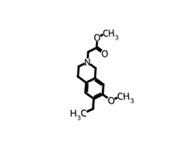 CCc1cc2c(cc1OC)CN(CC(=O)OC)CC2